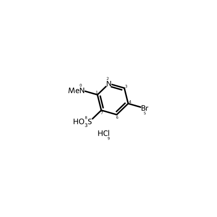 CNc1ncc(Br)cc1S(=O)(=O)O.Cl